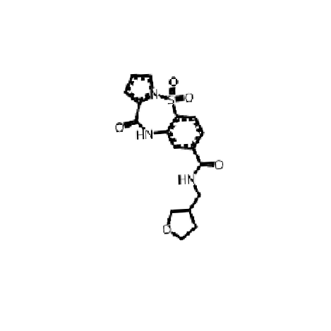 O=C(NCC1CCOC1)c1ccc2c(c1)NC(=O)c1cccn1S2(=O)=O